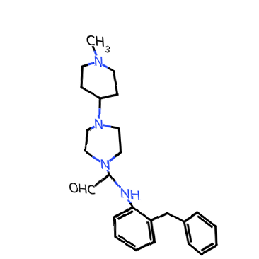 CN1CCC(N2CCN(C(C=O)Nc3ccccc3Cc3ccccc3)CC2)CC1